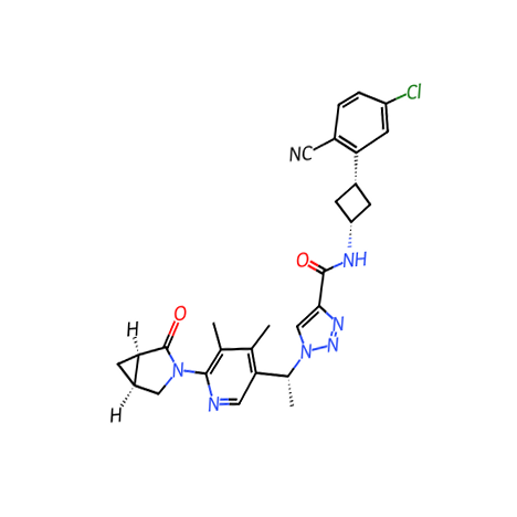 Cc1c([C@@H](C)n2cc(C(=O)N[C@H]3C[C@@H](c4cc(Cl)ccc4C#N)C3)nn2)cnc(N2C[C@H]3C[C@H]3C2=O)c1C